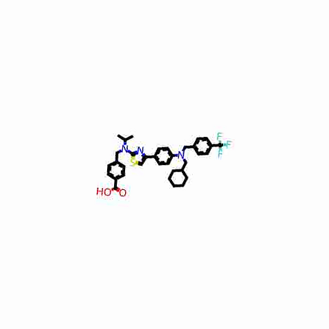 CC(C)N(Cc1ccc(C(=O)O)cc1)c1nc(-c2ccc(N(Cc3ccc(C(F)(F)F)cc3)CC3CCCCC3)cc2)cs1